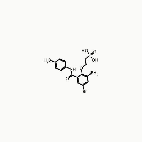 Bc1ccc(NC(=O)c2cc(Br)cc(B)c2OCCP(=O)(O)O)cc1